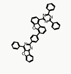 c1ccc(-c2nc(-c3ccccc3)nc(-c3cccc4oc5c(-c6ccc(-c7nc(-c8ccccc8)c8oc9ccccc9c8n7)cc6)cccc5c34)n2)cc1